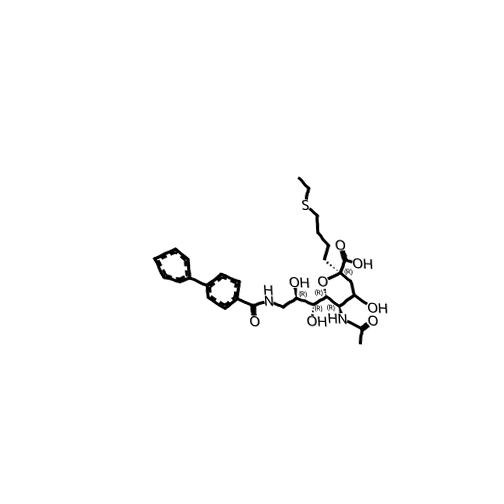 CCSCCCC[C@]1(C(=O)O)CC(O)[C@@H](NC(C)=O)[C@H]([C@H](O)[C@H](O)CNC(=O)c2ccc(-c3ccccc3)cc2)O1